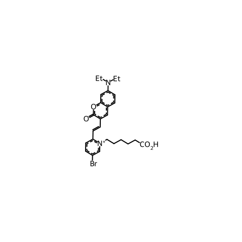 CCN(CC)c1ccc2cc(/C=C/c3ccc(Br)c[n+]3CCCCCC(=O)O)c(=O)oc2c1